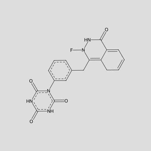 O=C1NN(F)C(Cc2cccc(-n3c(=O)[nH]c(=O)[nH]c3=O)c2)=C2CC=CC=C12